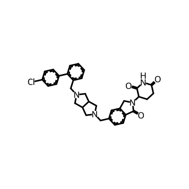 O=C1CCC(N2Cc3cc(CN4CC5CN(Cc6ccccc6-c6ccc(Cl)cc6)CC5C4)ccc3C2=O)C(=O)N1